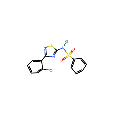 O=S(=O)(c1ccccc1)N(Cl)c1nc(-c2ccccc2Cl)ns1